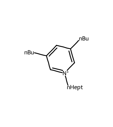 CCCCCCC[n+]1cc(CCCC)cc(CCCC)c1